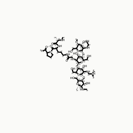 [2H]C(=O)C1CCCN1C(=O)C(CCCNC(=O)CNC1[C@H](O[C@@H]2C(CO)O[C@@H](O[C@@H]3C(CO)O[C@@H](C)C(NC)[C@H]3O)C(NC[SH](=S)=S)[C@H]2O)OC(CO)[C@@H](O[C@@H]2OC(CO)[C@@H](OC)[C@H](O)C2NCS)[C@@H]1O)NC(=O)[C@H](C)NC